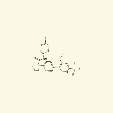 O=C(Nc1ccc(F)cc1)C1(c2ccc(-c3cnc(C(F)(F)F)cc3CF)cc2)COC1